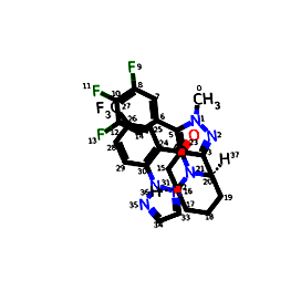 Cn1nc2c(c1-c1cc(F)c(F)c(F)c1)C[C@@H]1CCC[C@H]2N1C(=O)c1cc(C(F)(F)F)ccc1-n1nccn1